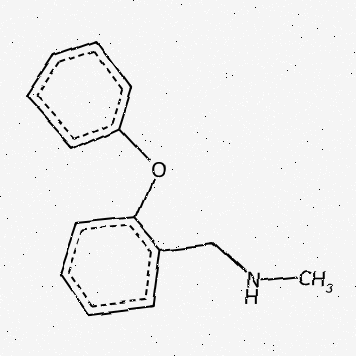 CNCc1ccccc1Oc1ccccc1